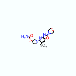 NC(=O)OC1CCN(c2nc3nc(N4CCOCC4)oc3cc2[N+](=O)[O-])C1